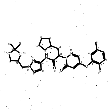 Cc1ccc(F)c(Oc2cnn(C(CC3CCCC3)C(=O)Nc3ccn(CC4COC(C)(C)O4)n3)c(=O)c2)c1